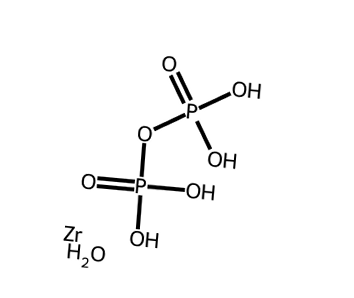 O.O=P(O)(O)OP(=O)(O)O.[Zr]